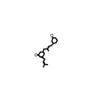 CC(C)=CCC1=CC(=O)CC(C/C(C)=C/CC2CCCC(=O)C2)C1